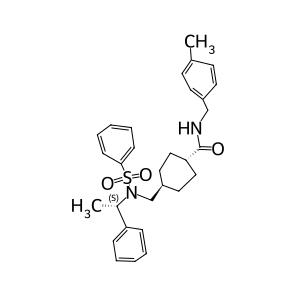 Cc1ccc(CNC(=O)[C@H]2CC[C@H](CN([C@@H](C)c3ccccc3)S(=O)(=O)c3ccccc3)CC2)cc1